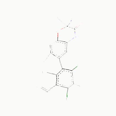 C=Cc1c(C)c(-c2cc3c(cc2F)OC(I)(I)C(=O)N3)c(F)c(F)c1F